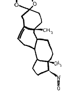 C[C@]12CCC3(CC1=CCC1C2CC[C@@]2(C)C1CC[C@@H]2N=O)OCCO3